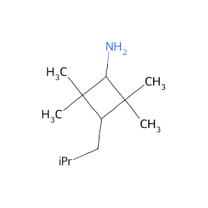 CC(C)CC1C(C)(C)C(N)C1(C)C